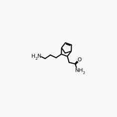 NCCCC1C2C=CC(C2)C1CC(N)=O